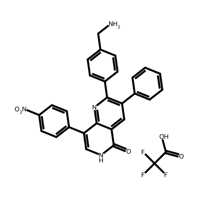 NCc1ccc(-c2nc3c(-c4ccc([N+](=O)[O-])cc4)c[nH]c(=O)c3cc2-c2ccccc2)cc1.O=C(O)C(F)(F)F